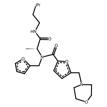 CC(C)CCNC(=O)[C@@H](C)N(Cc1ccco1)C(=O)c1ccc(CN2CCOCC2)o1